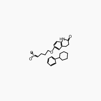 O=C1CCc2cc(OCCCC=S(=O)=O)ccc2N1.c1ccc(C2CCCCC2)cc1